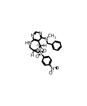 CN(Cc1ccccc1)c1ncnc2c1[C@@H]1OC[C@H](CN2)N1S(=O)(=O)c1ccc([N+](=O)[O-])cc1